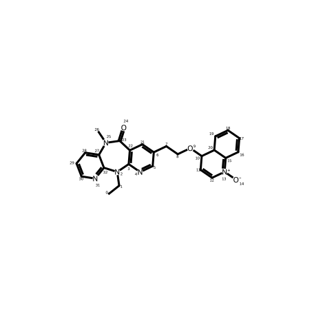 CCN1c2ncc(CCOC3C=C[N+]([O-])=C4C=CC=CC43)cc2C(=O)N(C)c2cccnc21